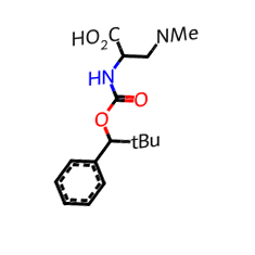 CNCC(NC(=O)OC(c1ccccc1)C(C)(C)C)C(=O)O